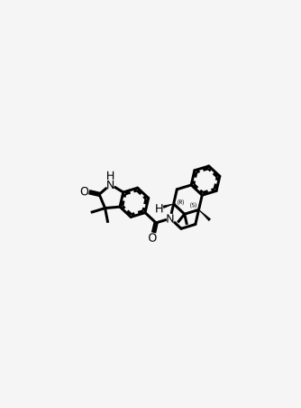 CC1(C)C(=O)Nc2ccc(C(=O)N3CC[C@@]4(C)c5ccccc5C[C@@H]3C4(C)C)cc21